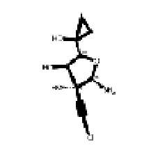 B[C@@H]1O[C@H](C2(O)CC2)C(O)[C@]1(O)C#CCl